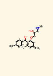 Cc1ccc(C(=O)c2c(C)cc(C)cc2OCC(O)CNC(C)C)cc1